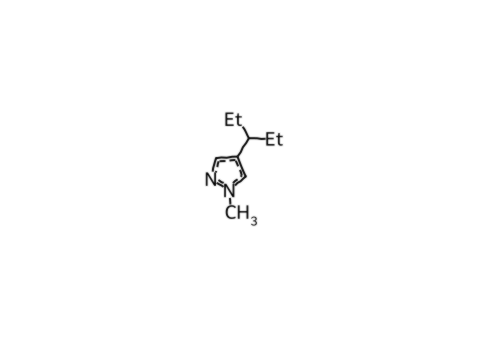 CCC(CC)c1cnn(C)c1